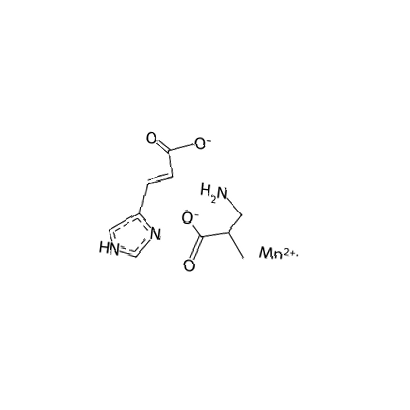 CC(CN)C(=O)[O-].O=C([O-])C=Cc1c[nH]cn1.[Mn+2]